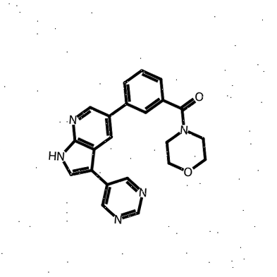 O=C(c1cccc(-c2cnc3[nH]cc(-c4cncnc4)c3c2)c1)N1CCOCC1